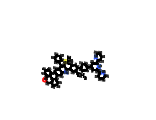 CC1CC(c2ccc(-c3cc(-c4ccccn4)nc(-c4ccccn4)c3)cc2)C(C)C=C1c1nc2cc(-c3cccc4c3-c3ccccc3OC4)ccc2c2c1sc1ccccc12